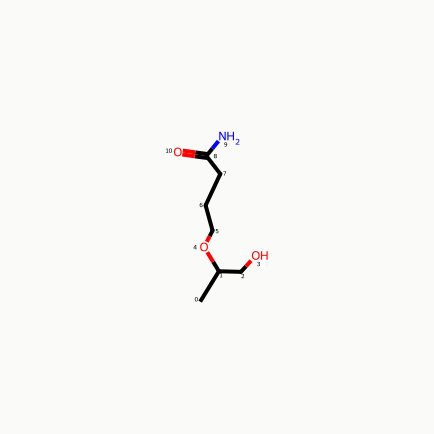 CC(CO)OCCCC(N)=O